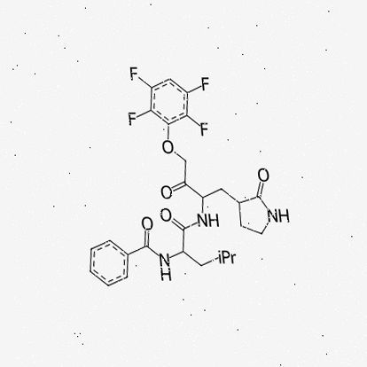 CC(C)CC(NC(=O)c1ccccc1)C(=O)NC(CC1CCNC1=O)C(=O)COc1c(F)c(F)cc(F)c1F